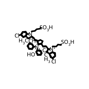 CC1(C)C(=CC=C2CCC(C=CC3=[N+](CCCCS(=O)(=O)O)c4ccc(Cl)cc4C3(C)C)=C2N(c2ccccc2)c2ccccc2)N(CCCCS(=O)(=O)O)c2ccc(Cl)cc21.[OH-]